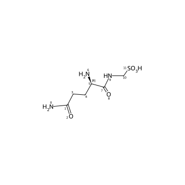 NC(=O)CC[C@@H](N)C(=O)NCS(=O)(=O)O